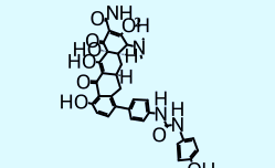 CN(C)C1C(O)=C(C(N)=O)C(=O)[C@]2(O)C(O)=C3C(=O)c4c(O)ccc(-c5ccc(NC(=O)Nc6ccc(O)cc6)cc5)c4C[C@@H]3C[C@H]12